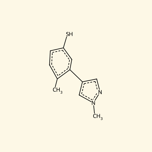 Cc1ccc(S)cc1-c1cnn(C)c1